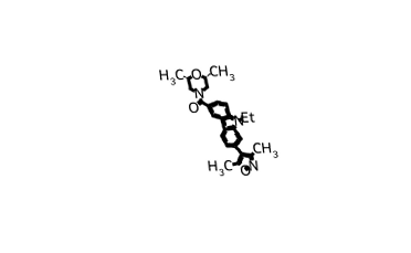 CCn1c2ccc(C(=O)N3C[C@@H](C)O[C@@H](C)C3)cc2c2ccc(-c3c(C)noc3C)cc21